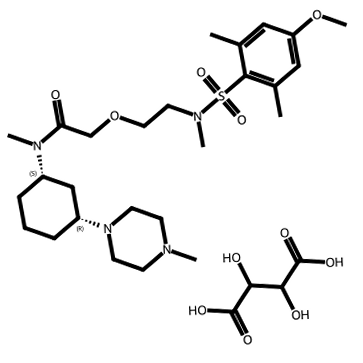 COc1cc(C)c(S(=O)(=O)N(C)CCOCC(=O)N(C)[C@H]2CCC[C@@H](N3CCN(C)CC3)C2)c(C)c1.O=C(O)C(O)C(O)C(=O)O